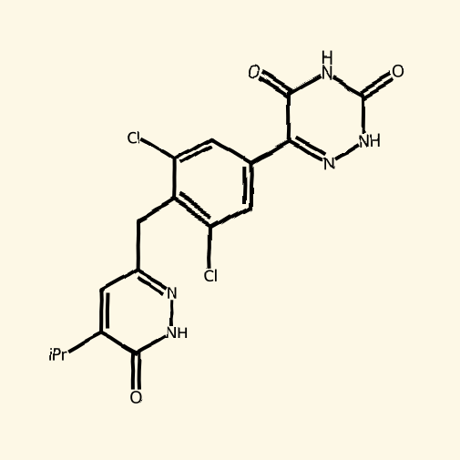 CC(C)c1cc(Cc2c(Cl)cc(-c3n[nH]c(=O)[nH]c3=O)cc2Cl)n[nH]c1=O